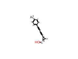 CC(=O)c1ccc(C#CC#CC2C[C@@H]2CO)cc1